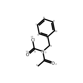 CC(=O)N(Cc1ccccc1)C(=O)Cl